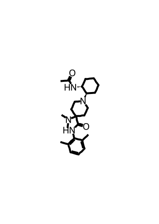 CC(=O)N[C@@H]1CCCC[C@H]1N1CCC(C(=O)Nc2c(C)cccc2C)(N(C)C)CC1